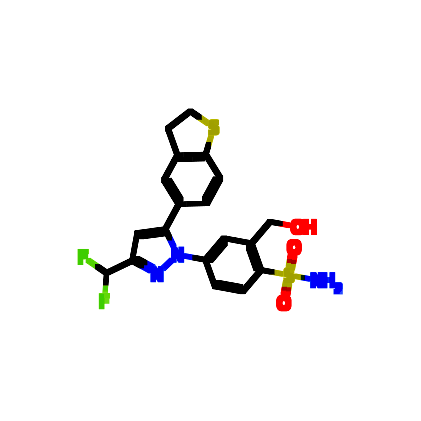 NS(=O)(=O)c1ccc(-n2nc(C(F)F)cc2-c2ccc3c(c2)CCS3)cc1CO